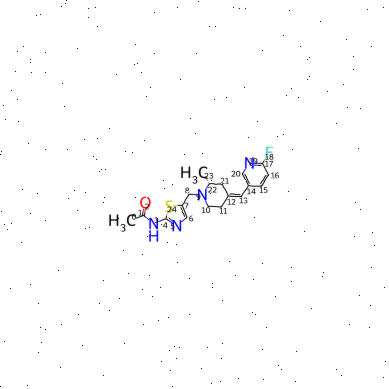 CC(=O)Nc1ncc(CN2CC/C(=C/c3ccc(F)nc3)C[C@H]2C)s1